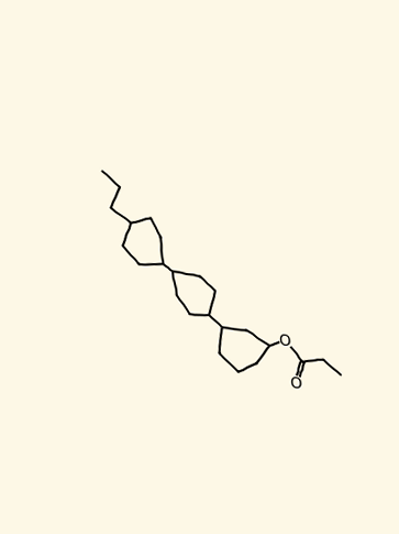 CCCC1CCC(C2CCC(C3CCCC(OC(=O)CC)C3)CC2)CC1